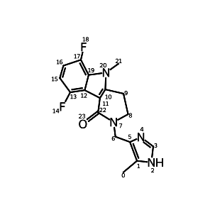 Cc1[nH]cnc1CN1CCc2c(c3c(F)ccc(F)c3n2C)C1=O